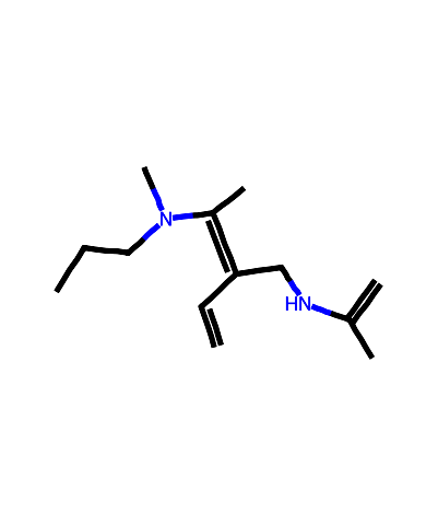 C=C/C(CNC(=C)C)=C(/C)N(C)CCC